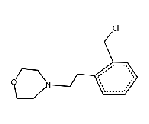 ClCc1ccccc1CCN1CCOCC1